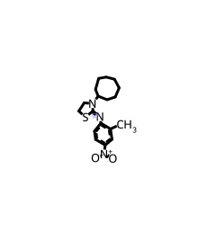 Cc1cc([N+](=O)[O-])ccc1/N=C1\SCCN1C1CCCCCCC1